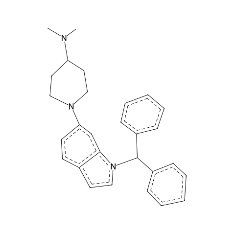 CN(C)C1CCN(c2ccc3ccn(C(c4ccccc4)c4ccccc4)c3c2)CC1